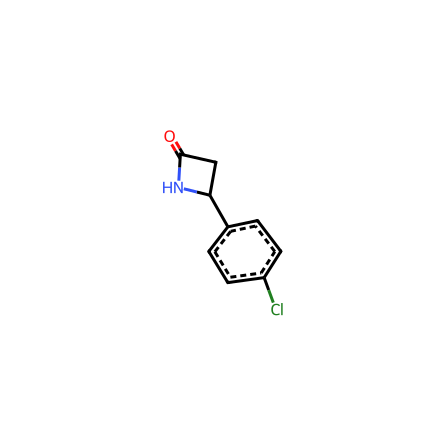 O=C1CC(c2ccc(Cl)cc2)N1